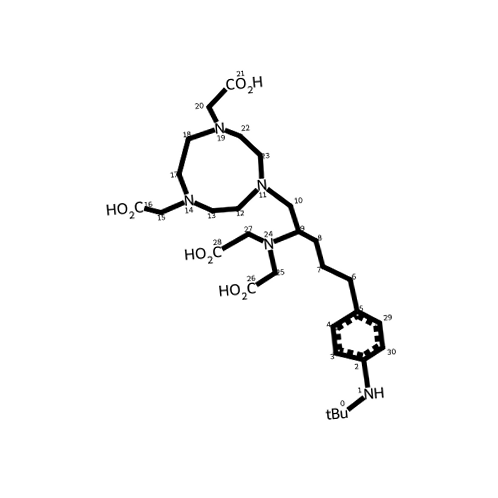 CC(C)(C)Nc1ccc(CCCC(CN2CCN(CC(=O)O)CCN(CC(=O)O)CC2)N(CC(=O)O)CC(=O)O)cc1